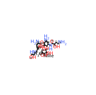 CNC1C(O)C(OC2C(NC(=O)C(O)CCN)CC(N)C(OC3OC4C(CNCCO)C4CC3N)C2O)OCC1(C)O